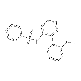 COc1ccccc1-c1cnccc1NS(=O)(=O)c1ccccc1